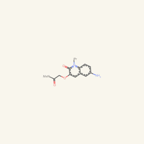 CNC(=O)COc1cc2cc(N)ccc2n(C(C)C)c1=O